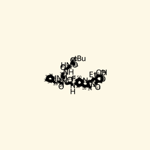 CC[C@@]1(O)C(=O)OCc2c1cc1n(c2=O)Cc2cc3cc(NC(=O)CNC(=O)[C@H](Cc4ccccc4)NC(=O)CNC(=O)CNC(=O)OC(C)(C)C)c(F)cc3nc2-1